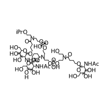 CC(=O)NC1[C@H](OCCCC(=O)N(CCO)CCOP(=O)(O)OCCN(CCOP(=O)(O)OCCN(CCOC(C)C)C(=O)CCCO[C@@H]2OC(CO)[C@H](O)[C@H](O)C2NC(C)=O)C(=O)CCCO[C@@H]2OC(CO)[C@H](O)[C@H](O)C2NC(C)=O)OC(CO)[C@H](O)[C@@H]1O